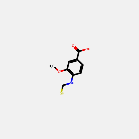 COc1cc(C(=O)O)ccc1NCS